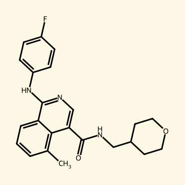 Cc1cccc2c(Nc3ccc(F)cc3)ncc(C(=O)NCC3CCOCC3)c12